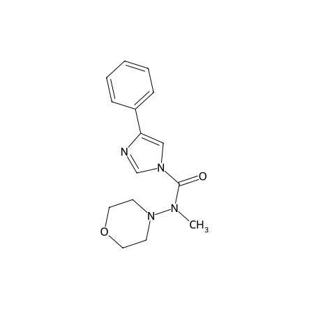 CN(C(=O)n1cnc(-c2ccccc2)c1)N1CCOCC1